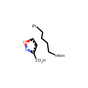 CCCCCCCCCCCCCC(C)C.O=C(O)c1ccon1